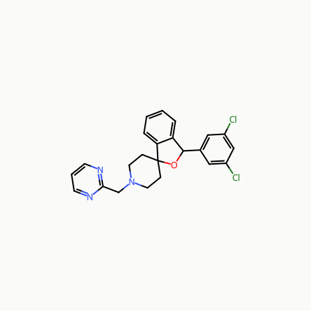 Clc1cc(Cl)cc(C2OC3(CCN(Cc4ncccn4)CC3)c3ccccc32)c1